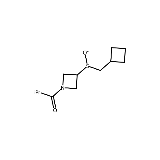 CC(C)C(=O)N1CC([S+]([O-])CC2CCC2)C1